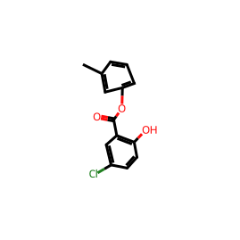 Cc1cccc(OC(=O)c2cc(Cl)ccc2O)c1